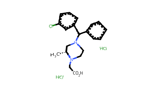 C[C@@H]1CN(C(c2ccccc2)c2cccc(Cl)c2)CCN1CC(=O)O.Cl.Cl